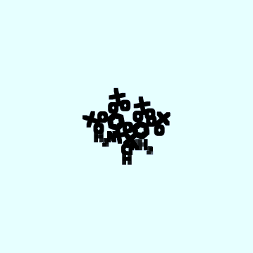 CC(C)(C)C(=O)Oc1ccc(C(C)(N)C(=O)C(C)(N)c2ccc(OC(=O)C(C)(C)C)c(OC(=O)C(C)(C)C)c2)cc1OC(=O)C(C)(C)C.Cl